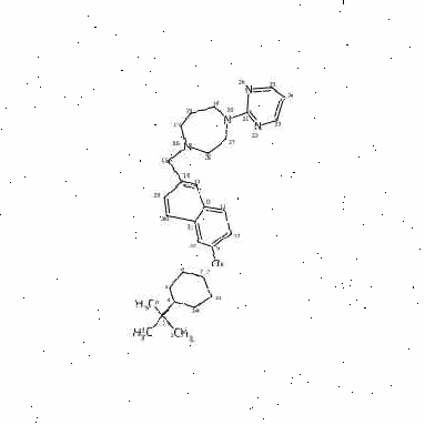 CC(C)(C)[C@H]1CC[C@H](Oc2ccc3cc(CN4CCCN(c5ncccn5)CC4)ccc3c2)CC1